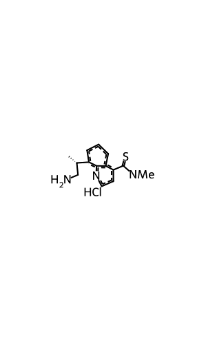 CNC(=S)c1ccnc2c([C@@H](C)CN)cccc12.Cl